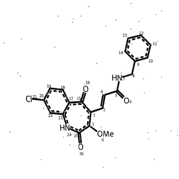 COc1c(C=CC(=O)NCc2ccccc2)c(=O)c2ccc(Cl)cc2[nH]c1=O